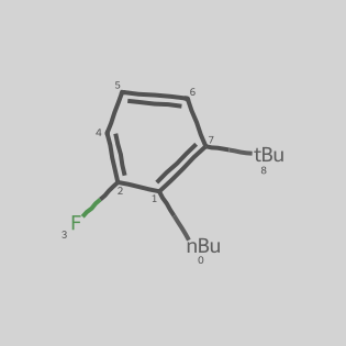 [CH2]CCCc1c(F)cccc1C(C)(C)C